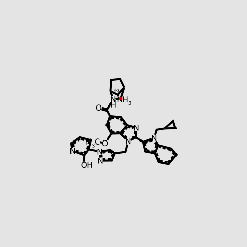 COc1cc(C(=O)N2CC3CCC2[C@@H]3N)cc2nc(-c3cc4ccccc4n3CC3CC3)n(Cc3cnn(-c4cccnc4O)c3)c12